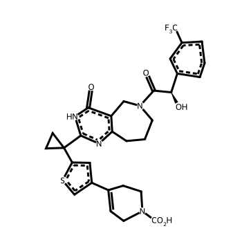 O=C(O)N1CC=C(c2csc(C3(c4nc5c(c(=O)[nH]4)CN(C(=O)[C@H](O)c4cccc(C(F)(F)F)c4)CCC5)CC3)c2)CC1